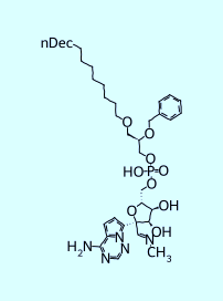 CCCCCCCCCCCCCCCCCCOC[C@H](COP(=O)(O)OC[C@H]1O[C@@](/C=N/C)(c2ccc3c(N)ncnn23)[C@H](O)[C@@H]1O)OCc1ccccc1